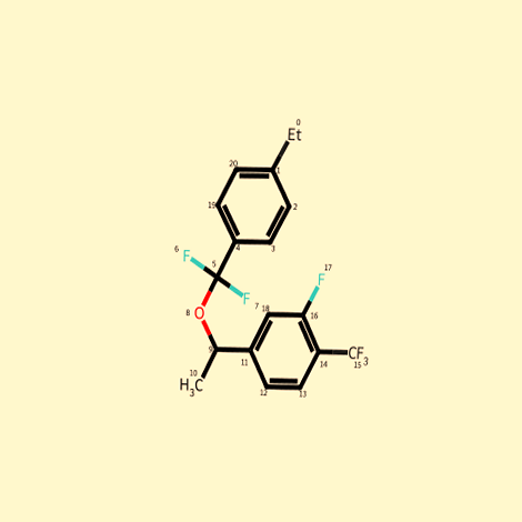 CCc1ccc(C(F)(F)OC(C)c2ccc(C(F)(F)F)c(F)c2)cc1